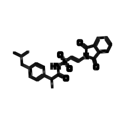 CC(C)Cc1ccc(C(C)C(=O)NS(=O)(=O)C=CN2C(=O)c3ccccc3C2=O)cc1